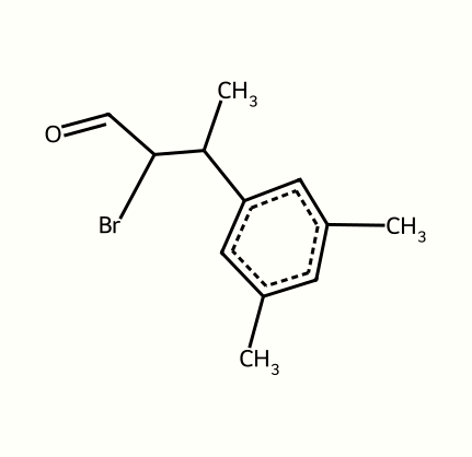 Cc1cc(C)cc(C(C)C(Br)C=O)c1